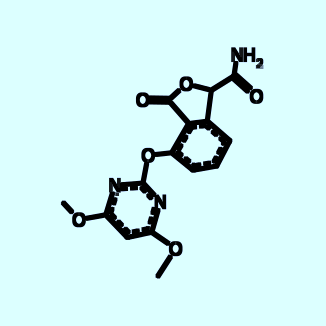 COc1cc(OC)nc(Oc2cccc3c2C(=O)OC3C(N)=O)n1